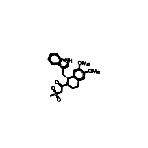 COc1cc2c(cc1OC)[C@@H](Cc1c[nH]c3ccccc13)N(C(=O)CS(C)(=O)=O)CC2